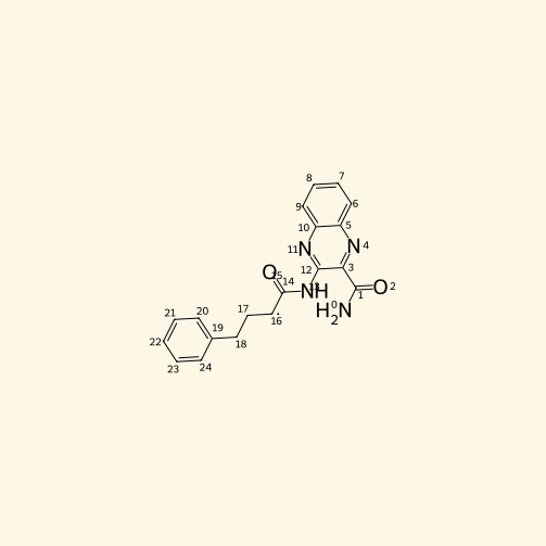 NC(=O)c1nc2ccccc2nc1NC(=O)[CH]CCc1ccccc1